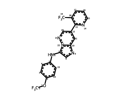 FC(F)(F)Oc1ccc(Nc2cnc3cc(-c4ncccc4C(F)(F)F)cnn23)cc1